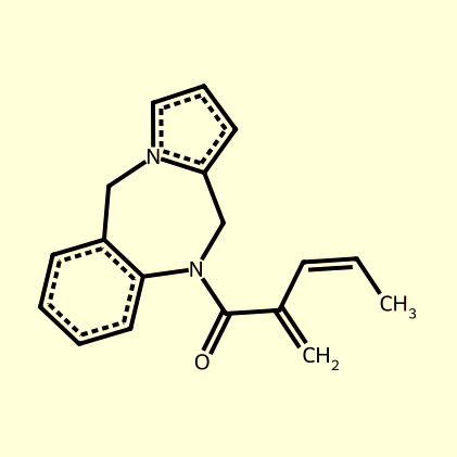 C=C(/C=C\C)C(=O)N1Cc2cccn2Cc2ccccc21